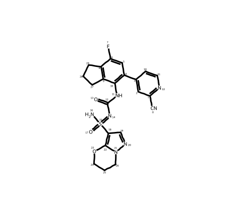 N#Cc1cc(-c2cc(F)c3c(c2NC(=O)N=S(N)(=O)c2cnn4c2OCCC4)CCC3)ccn1